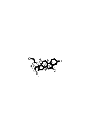 C=C1C[C@H]2[C@@H]3C=C(Cl)C4=CC(=O)CC[C@]4(C)[C@H]3CC[C@]2(C)[C@@]1(OC(=O)CCl)C(C)=O